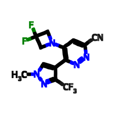 Cn1cc(-c2nnc(C#N)cc2N2CC(F)(F)C2)c(C(F)(F)F)n1